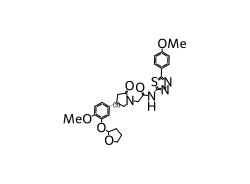 COc1ccc(-c2nnc(NC(=O)CN3C[C@H](c4ccc(OC)c(OC5CCCO5)c4)CC3=O)s2)cc1